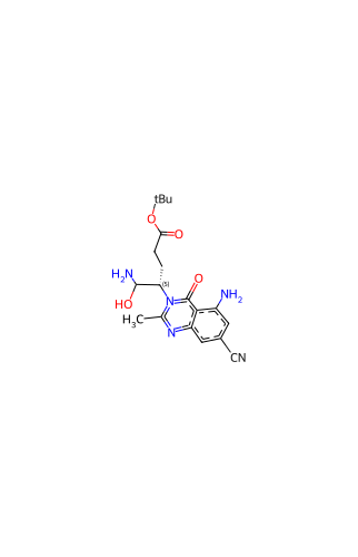 Cc1nc2cc(C#N)cc(N)c2c(=O)n1[C@@H](CCC(=O)OC(C)(C)C)C(N)O